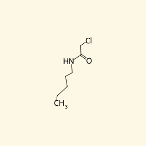 CCCCCNC(=O)CCl